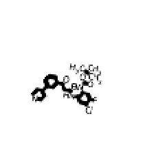 CC(C)(C)OC(=O)Nc1cc(F)c(Cl)cc1NC(=O)CC(=O)c1cccc(-c2ccncc2)c1